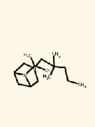 CCCC(C)(C)CN1CC2CC(C1)N2C(C)C